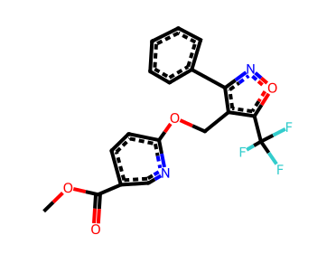 COC(=O)c1ccc(OCc2c(-c3ccccc3)noc2C(F)(F)F)nc1